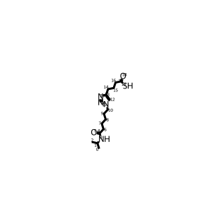 CC(C)NC(=O)CCCCCn1cc(CCCC(=O)S)nn1